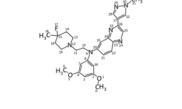 COc1cc(OC)cc(N(CCN2CCC(C)(F)CC2)c2ccc3ncc(-c4cnn(C)c4)nc3c2)c1